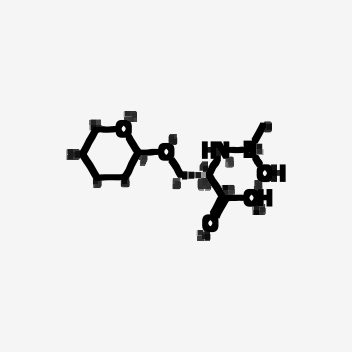 CB(O)N[C@@H](COC1CCCCO1)C(=O)O